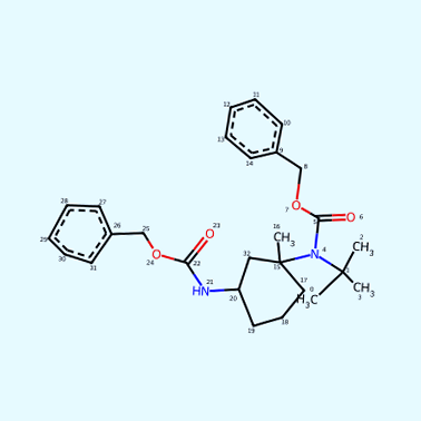 CC(C)(C)N(C(=O)OCc1ccccc1)C1(C)CCCC(NC(=O)OCc2ccccc2)C1